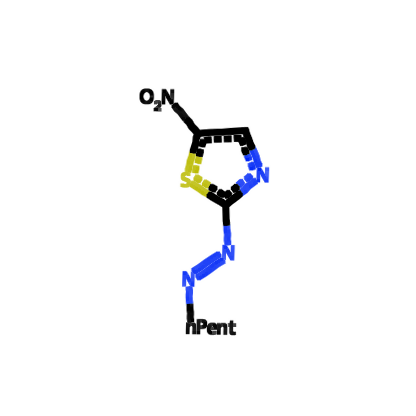 CCCCCN=Nc1ncc([N+](=O)[O-])s1